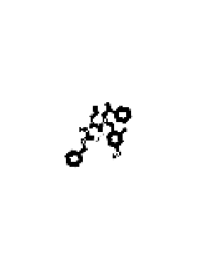 C=CC[C@@H](NC(=O)OCc1ccccc1)C(=O)N(CC(=C)c1ccccc1)Cc1ccc(OC)cc1C